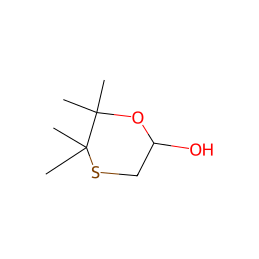 CC1(C)OC(O)CSC1(C)C